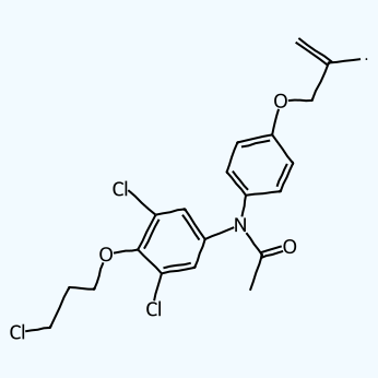 [CH2]C(=C)COc1ccc(N(C(C)=O)c2cc(Cl)c(OCCCCl)c(Cl)c2)cc1